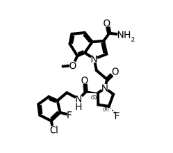 COc1cccc2c(C(N)=O)cn(CC(=O)N3C[C@H](F)C[C@H]3C(=O)NCc3cccc(Cl)c3F)c12